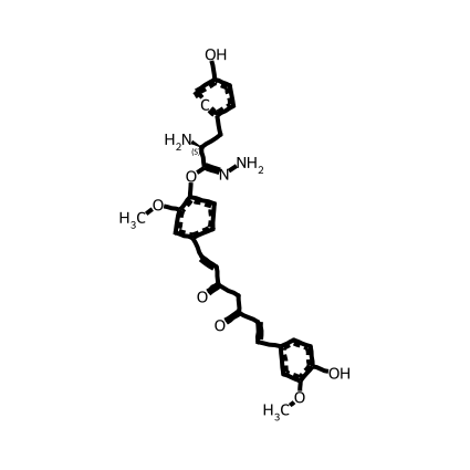 COc1cc(C=CC(=O)CC(=O)C=Cc2ccc(OC(=NN)[C@@H](N)Cc3ccc(O)cc3)c(OC)c2)ccc1O